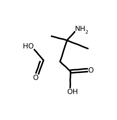 CC(C)(N)CC(=O)O.O=CO